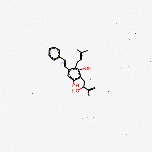 C=C(C)C(O)Cc1c(O)cc(/C=C/c2ccccc2)c(CC=C(C)C)c1O